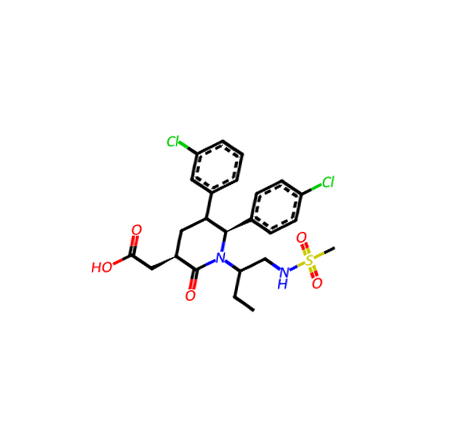 CCC(CNS(C)(=O)=O)N1C(=O)[C@@H](CC(=O)O)CC(c2cccc(Cl)c2)[C@H]1c1ccc(Cl)cc1